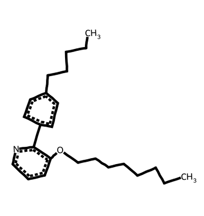 CCCCCCCCOc1cccnc1-c1ccc(CCCCC)cc1